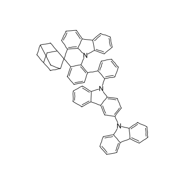 c1ccc(-n2c3ccccc3c3cc(-n4c5ccccc5c5ccccc54)ccc32)c(-c2cccc3c2-n2c4ccccc4c4cccc(c42)C32C3CC4CC(C3)CC2C4)c1